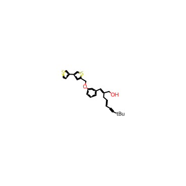 CC(C)(C)C#C/C=C/C/C(=C\c1cccc(OCc2cc(-c3ccsc3)cs2)c1)CO